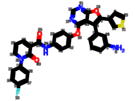 Nc1cccc(-c2c(-c3ccsc3)oc3ncnc(Oc4ccc(NC(=O)c5cccn(-c6ccc(F)cc6)c5=O)cc4)c23)c1